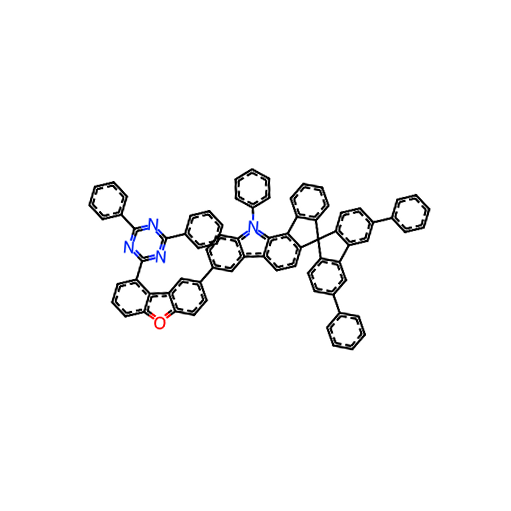 c1ccc(-c2ccc3c(c2)-c2cc(-c4ccccc4)ccc2C32c3ccccc3-c3c2ccc2c4cc(-c5ccc6oc7cccc(-c8nc(-c9ccccc9)nc(-c9ccccc9)n8)c7c6c5)ccc4n(-c4ccccc4)c32)cc1